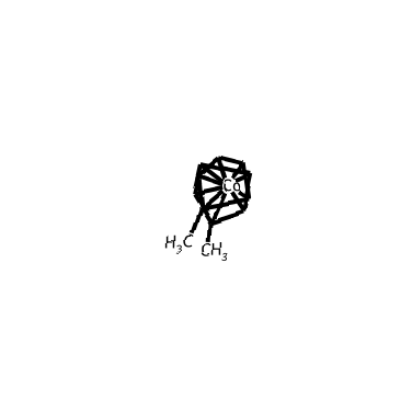 C[C]12[CH]3[CH]4[CH]5[CH]1[Co]45321678[CH]2[CH]1[CH]6[C]7(C)[CH]28